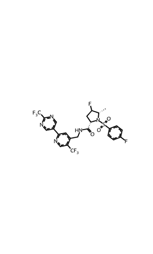 C[C@H]1C(F)C[C@@H](C(=O)NCc2cc(-c3cnc(C(F)(F)F)nc3)ncc2C(F)(F)F)N1S(=O)(=O)c1ccc(F)cc1